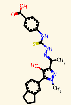 CC(=NNC(=S)Nc1ccc(C(=O)O)cc1)c1nn(C)c(-c2ccc3c(c2)CCC3)c1O